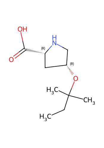 CCC(C)(C)O[C@H]1CN[C@@H](C(=O)O)C1